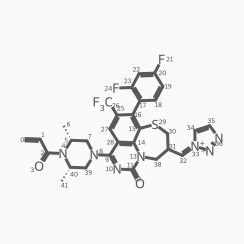 C=CC(=O)N1[C@H](C)CN(c2nc(=O)n3c4c(c(-c5ccc(F)cc5F)c(C(F)(F)F)cc24)SCC(/C=[N+]2\C=CN=N2)C3)C[C@@H]1C